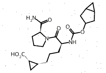 NC(=O)[C@@H]1CCCN1C(=O)[C@H](CCC[C@@H]1C[C@@H]1C(=O)O)NC(=O)OC1CC2CC2C1